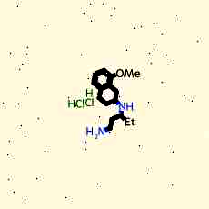 CCC(CCN)NC1CCc2cccc(OC)c2C1.Cl.Cl